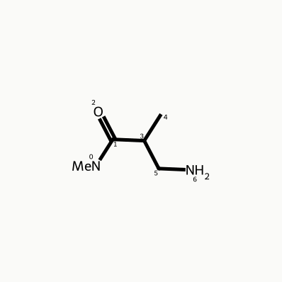 CNC(=O)C(C)CN